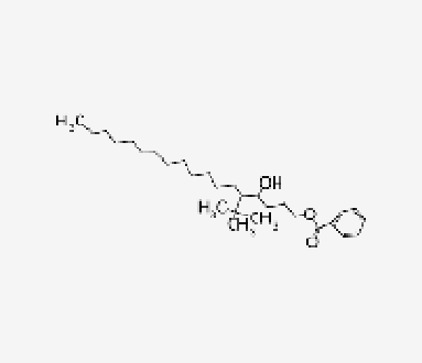 CCCCCCCCCCCCCC(C(O)CCCOC(=O)c1ccccc1)C(C)(C)C